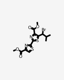 COC(=O)c1csc(-c2nc(C(=O)OC)c(C(Br)C(C)C)s2)n1